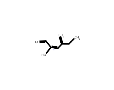 C=C/C(O)=C\C(=C)CC